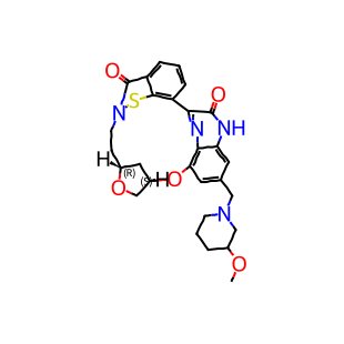 COC1CCCN(Cc2cc3c4nc(c(=O)[nH]c4c2)-c2cccc4c(=O)n(sc24)CC[C@@H]2C[C@@H](CO2)O3)C1